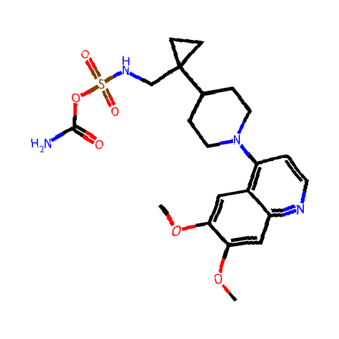 COc1cc2nccc(N3CCC(C4(CNS(=O)(=O)OC(N)=O)CC4)CC3)c2cc1OC